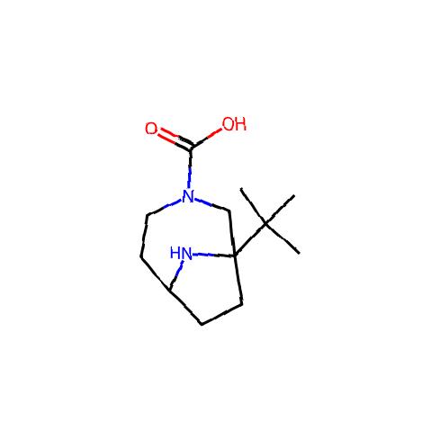 CC(C)(C)C12CCC(CCN(C(=O)O)C1)N2